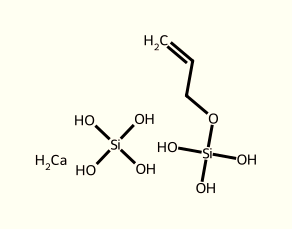 C=CCO[Si](O)(O)O.O[Si](O)(O)O.[CaH2]